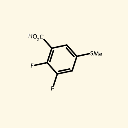 CSc1cc(F)c(F)c(C(=O)O)c1